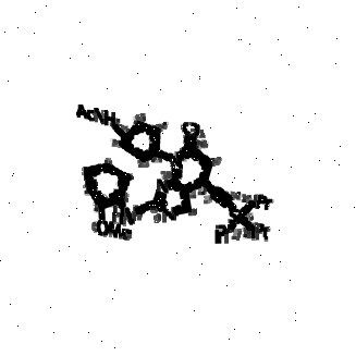 COc1ccccc1Nc1ncc2c(C#C[Si](C(C)C)(C(C)C)C(C)C)cc(=O)n(-c3ccc(NC(C)=O)cc3)c2n1